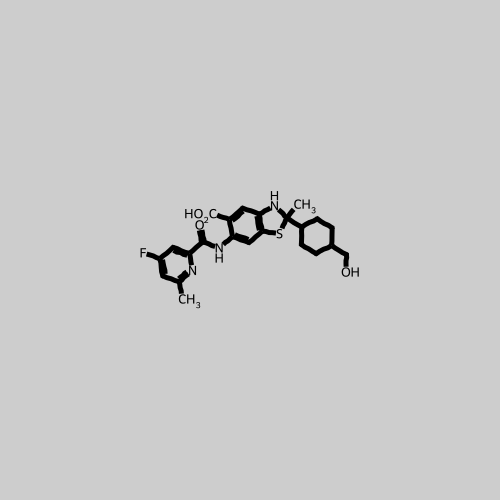 Cc1cc(F)cc(C(=O)Nc2cc3c(cc2C(=O)O)NC(C)(C2CCC(CO)CC2)S3)n1